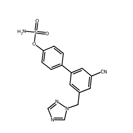 N#Cc1cc(Cn2cncn2)cc(-c2ccc(OS(N)(=O)=O)cc2)c1